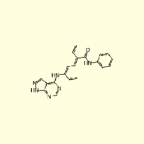 C=C/C(=C\C=C(/C=C)C(=O)Nc1ccccc1)Nc1ncnc2[nH]ncc12